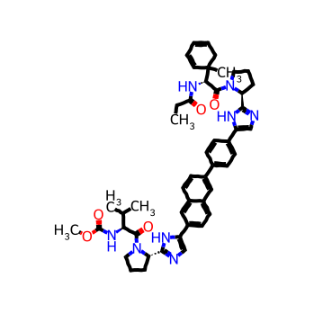 CCC(=O)N[C@@H](C(=O)N1CCC[C@H]1c1ncc(-c2ccc(-c3ccc4cc(-c5cnc([C@@H]6CCCN6C(=O)[C@@H](NC(=O)OC)C(C)C)[nH]5)ccc4c3)cc2)[nH]1)C1(C)C=CC=CC1